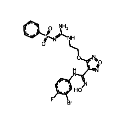 N/C(=N\S(=O)(=O)c1ccccc1)NCCOc1nonc1/C(=N/O)Nc1ccc(F)c(Br)c1